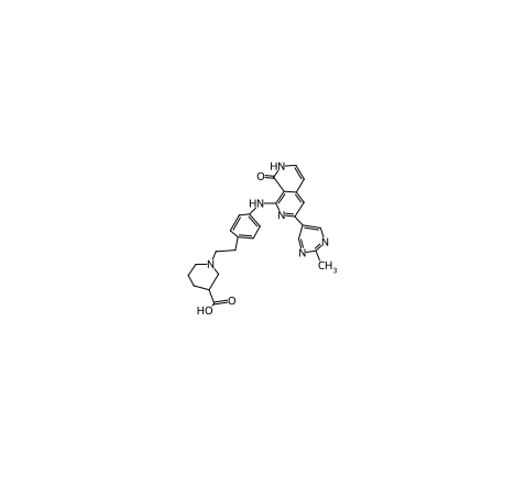 Cc1ncc(-c2cc3cc[nH]c(=O)c3c(Nc3ccc(CCN4CCCC(C(=O)O)C4)cc3)n2)cn1